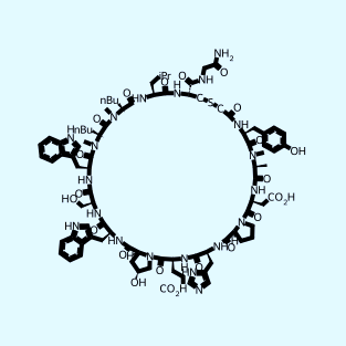 CCCC[C@H]1C(=O)N(C)[C@@H](CCCC)C(=O)N[C@@H](CC(C)C)C(=O)N[C@H](C(=O)NCC(N)=O)CSCC(=O)N[C@@H](Cc2ccc(O)cc2)C(=O)N(C)[C@@H](C)C(=O)N[C@@H](CC(=O)O)C(=O)N2CCC[C@H]2C(=O)N[C@@H](Cc2cnc[nH]2)C(=O)N[C@@H](CCC(=O)O)C(=O)N2C[C@H](O)C[C@H]2C(=O)N[C@@H](Cc2c[nH]c3ccccc23)C(=O)N[C@@H](CO)C(=O)N[C@@H](Cc2c[nH]c3ccccc23)C(=O)N1C